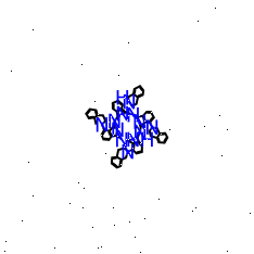 c1ccc2c(c1)CCN(c1cccc3c1-c1nc-3nc3[nH]c(nc4nc(nc5[nH]c(n1)c1cccc(N6CCc7ccccc7C6)c51)-c1cccc(N5CCc6ccccc6C5)c1-4)c1cccc(N4CCc5ccccc5C4)c31)C2